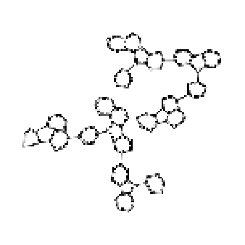 c1ccc(-n2c3ccccc3c3ccc(-c4ccc5c6c(-c7ccc8c(c7)-c7ccc(-c9cccc(-n%10c%11ccccc%11c%11ccc(-c%12ccc%13c(c%12)c%12ccc%14ccccc%14c%12n%13-c%12ccccc%12)cc%11%10)c9)c9cccc-8c79)cc7ccccc7c6n(-c6ccc(-c7ccc8c9c(cccc79)-c7ccccc7-8)cc6)c5c4)cc32)cc1